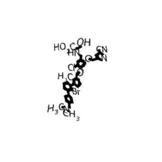 Cc1c(COc2cc(OCc3cncc(C#N)c3)c(CNC(CO)C(=O)O)cc2Cl)cccc1-c1cccc(-c2ccc(CN(C)C)cc2)c1Br